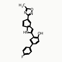 Cc1nc(-c2ccc3[nH]c(-c4cc(-c5ccc(F)cc5)ccc4O)cc3c2)no1